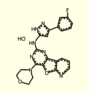 Cl.Fc1cccc(-c2cc(Nc3nc(N4CCOCC4)c4oc5ncccc5c4n3)[nH]n2)c1